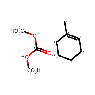 CC1=CCCCC1.O=C(O)OC(=O)OC(=O)O